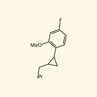 COc1cc(F)ccc1C1CC1CC(C)C